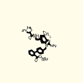 CCCc1nc2c(C)cc(CNC(=O)C(CC(C)C)SC(C)=O)cc2n1Cc1ccc(-c2ccccc2C(=O)OC(C)(C)C)cc1